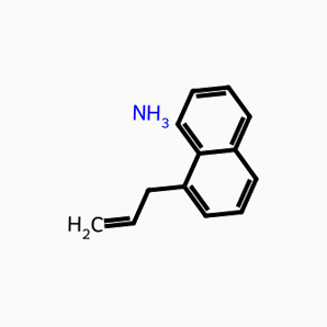 C=CCc1cccc2ccccc12.N